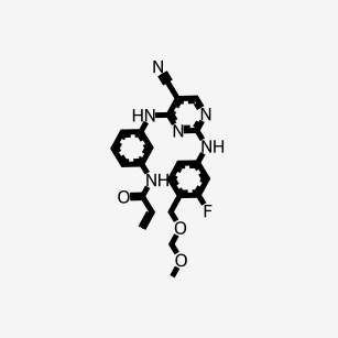 C=CC(=O)Nc1cccc(Nc2nc(Nc3ccc(COCOC)c(F)c3)ncc2C#N)c1